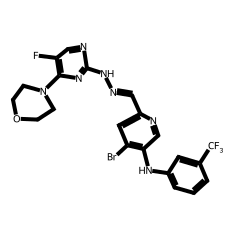 Fc1cnc(N/N=C/c2cc(Br)c(Nc3cccc(C(F)(F)F)c3)cn2)nc1N1CCOCC1